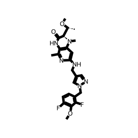 COc1c(F)ccc(Cn2cc(CNc3cc4c(c(C)n3)NC(=O)[C@H]([C@@H](C)OC)N4C)cn2)c1F